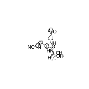 CC(C)(O)[C@H](F)CNC(=O)c1cnc(-c2ccc3cc(C#N)cnn23)cc1N[C@H]1CC[C@H](N2CCOC2=O)CC1